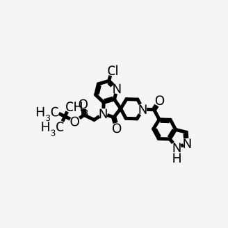 CC(C)(C)OC(=O)CN1C(=O)C2(CCN(C(=O)c3ccc4[nH]ncc4c3)CC2)c2nc(Cl)ccc21